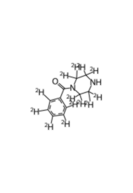 [2H]c1c([2H])c([2H])c(C(=O)N2C([2H])([2H])C([2H])([2H])NC([2H])([2H])C2([2H])[2H])c([2H])c1[2H]